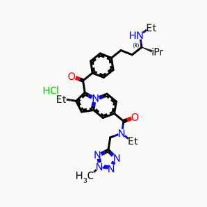 CCN[C@H](CCc1ccc(C(=O)c2c(CC)cc3cc(C(=O)N(CC)Cc4nnn(C)n4)ccn23)cc1)C(C)C.Cl